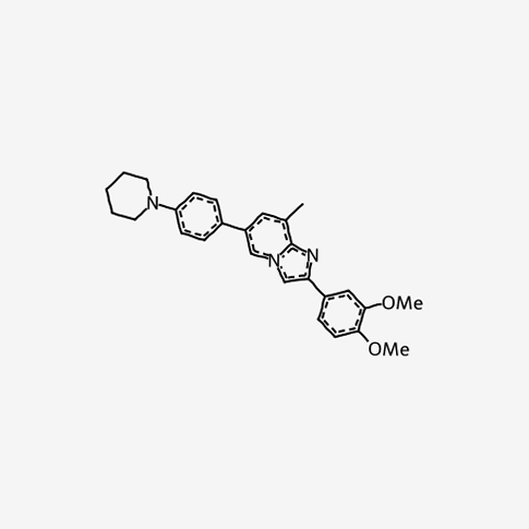 COc1ccc(-c2cn3cc(-c4ccc(N5CCCCC5)cc4)cc(C)c3n2)cc1OC